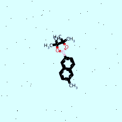 Cc1ccc2cc(B3OC(C)(C)C(C)(C)O3)ccc2c1